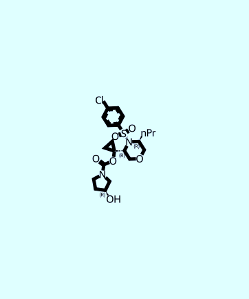 CCC[C@@H]1COC[C@H](C2(OC(=O)N3CC[C@@H](O)C3)CC2)N1S(=O)(=O)c1ccc(Cl)cc1